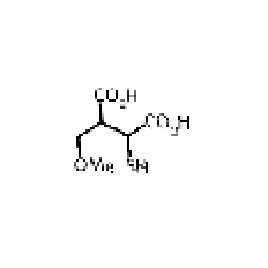 COCC(C(=O)O)C(S)C(=O)O